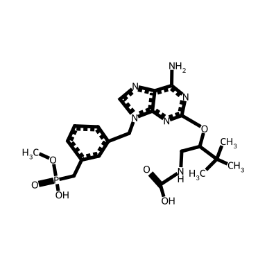 COP(=O)(O)Cc1cccc(Cn2cnc3c(N)nc(OC(CNC(=O)O)C(C)(C)C)nc32)c1